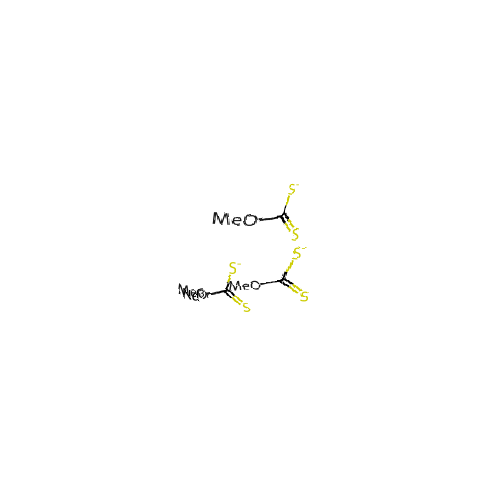 COC(=S)[S-].COC(=S)[S-].COC(=S)[S-].[Nd+3]